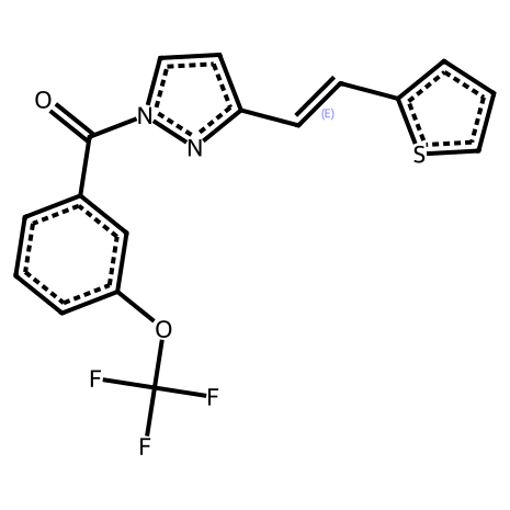 O=C(c1cccc(OC(F)(F)F)c1)n1ccc(/C=C/c2cccs2)n1